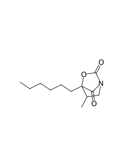 CCCCCCC12OC(=O)N(CC1C)C2=O